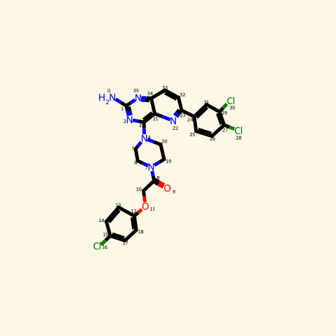 Nc1nc(N2CCN(C(=O)COc3ccc(Cl)cc3)CC2)c2nc(-c3ccc(Cl)c(Cl)c3)ccc2n1